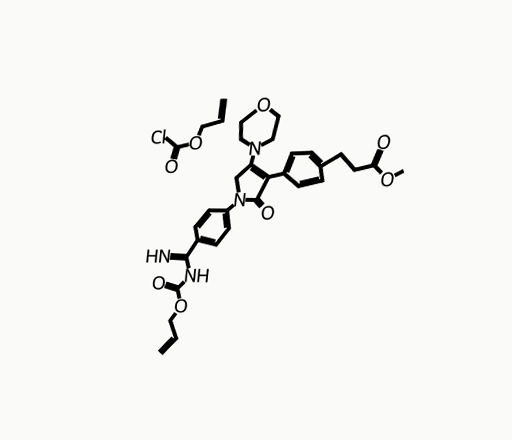 C=CCOC(=O)Cl.C=CCOC(=O)NC(=N)c1ccc(N2CC(N3CCOCC3)=C(c3ccc(CCC(=O)OC)cc3)C2=O)cc1